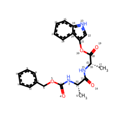 C[C@H](NC(=O)OCc1ccccc1)C(=O)N[C@@H](C)C(=O)Oc1c[nH]c2ccccc12